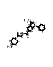 Cc1nn(-c2ccccc2)c2sc(C(=O)NCC(=O)N3CCC(O)CC3)cc12